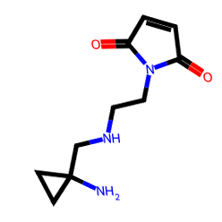 NC1(CNCCN2C(=O)C=CC2=O)CC1